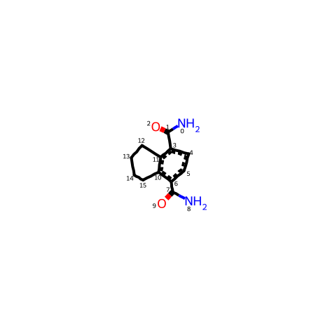 NC(=O)c1ccc(C(N)=O)c2c1CCCC2